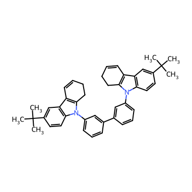 CC(C)(C)c1ccc2c(c1)c1c(n2-c2cccc(-c3cccc(-n4c5c(c6cc(C(C)(C)C)ccc64)C=CCC5)c3)c2)CCC=C1